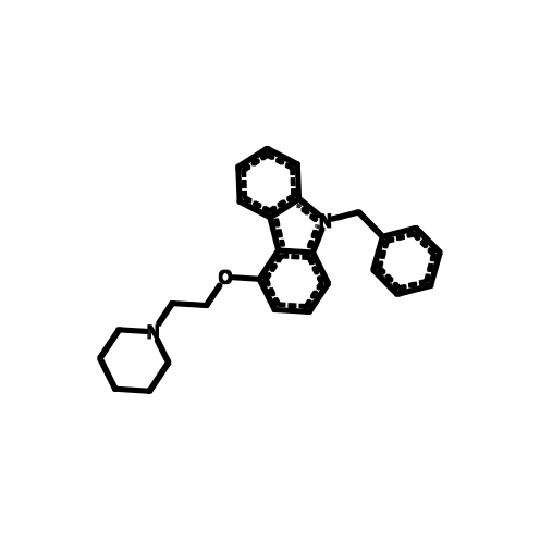 c1ccc(Cn2c3ccccc3c3c(OCCN4CCCCC4)cccc32)cc1